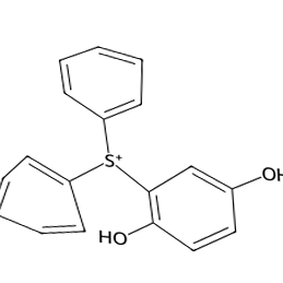 Oc1ccc(O)c([S+](c2ccccc2)c2ccccc2)c1